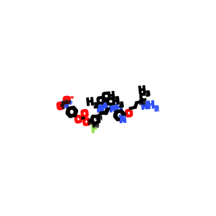 C[C@H](N)CCCOc1cc(Nc2cc([C@H]3C[C@@H](F)[C@@H](OC(=O)Oc4ccc([N+](=O)[O-])cc4)C3)nn2C(C)(C)C)ccn1